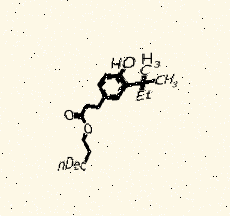 CCCCCCCCCCCCOC(=O)CCc1ccc(O)c(C(C)(C)CC)c1